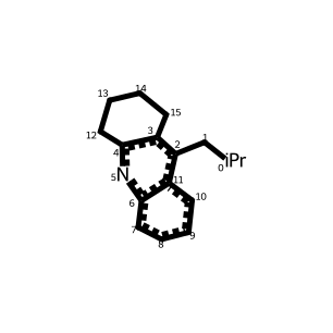 CC(C)Cc1c2c(nc3ccccc13)CCCC2